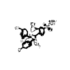 CCOc1cc(S(=O)(=O)NC(C)(C)C)ccc1C1=N[C@@](C)(c2ccc(Cl)cc2)[C@@](C)(c2ccc(Cl)cc2)N1